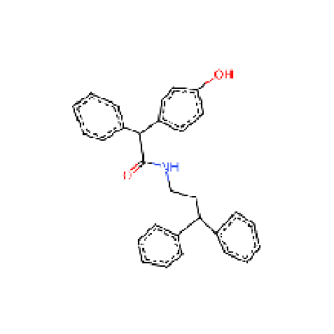 O=C(NCCC(c1ccccc1)c1ccccc1)C(c1ccccc1)c1ccc(O)cc1